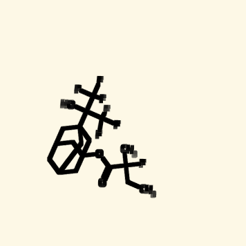 CCC(C)(F)C(=O)OC12CC3CC(C1)CC(C(O)(C(F)(F)F)C(F)(F)F)(C3)C2